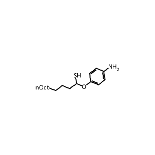 CCCCCCCCCCCC(S)Oc1ccc(N)cc1